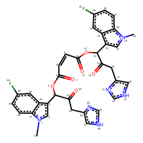 Cn1cc(C(OC(=O)/C=C\C(=O)OC(C(=O)Cc2c[nH]cn2)c2cn(C)c3ccc(F)cc23)C(=O)Cc2c[nH]cn2)c2cc(F)ccc21